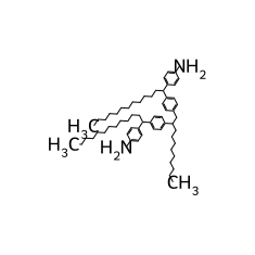 CCCCCCCCCCCCC(c1ccc(N)cc1)c1ccc(CC(CCCCCCCCC)c2ccc(C(CCCCCCCCCCCC)c3ccc(N)cc3)cc2)cc1